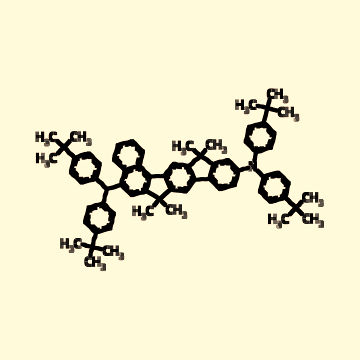 CC(C)(C)c1ccc(C(c2ccc(C(C)(C)C)cc2)c2cc3c(c4ccccc24)-c2cc4c(cc2C3(C)C)-c2ccc(N(c3ccc(C(C)(C)C)cc3)c3ccc(C(C)(C)C)cc3)cc2C4(C)C)cc1